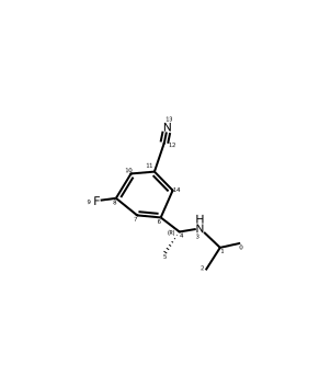 CC(C)N[C@H](C)c1cc(F)cc(C#N)c1